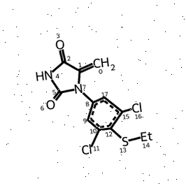 C=C1C(=O)NC(=O)N1c1cc(Cl)c(SCC)c(Cl)c1